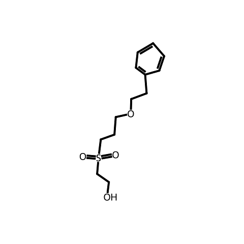 O=S(=O)(CCO)CCCOCCc1ccccc1